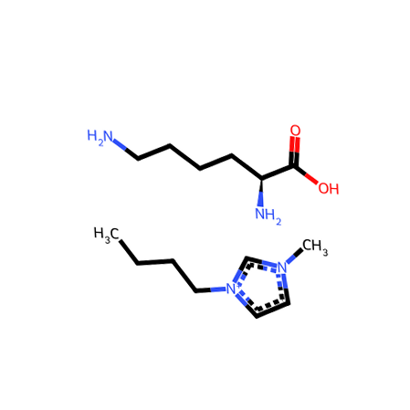 CCCC[n+]1ccn(C)c1.NCCCC[C@H](N)C(=O)O